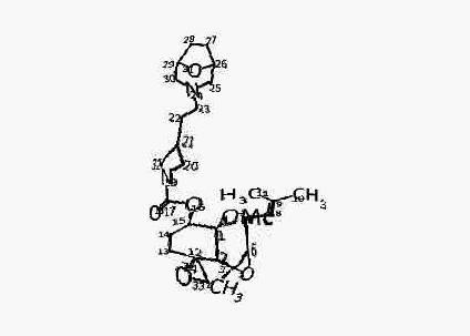 CO[C@H]1C([C@@]2(C)O[C@@H]2CC=C(C)C)[C@]2(CC[C@H]1OC(=O)N1CC(CCN3CC4CCC(C3)O4)C1)CO2